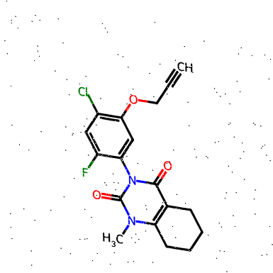 C#CCOc1cc(-n2c(=O)c3c(n(C)c2=O)CCCC3)c(F)cc1Cl